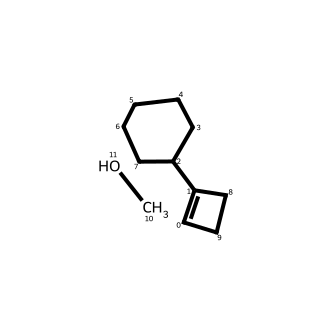 C1=C(C2CCCCC2)CC1.CO